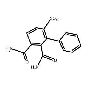 NC(=O)c1ccc(S(=O)(=O)O)c(-c2ccccc2)c1C(N)=O